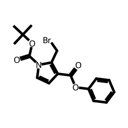 CC(C)(C)OC(=O)n1ccc(C(=O)Oc2ccccc2)c1CBr